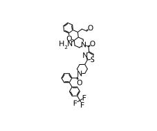 NC12CCN(C(=O)c3csc(C4CCN(C(=O)c5ccccc5-c5ccc(C(F)(F)F)cc5)CC4)n3)CC1C(CC=O)c1ccccc1O2